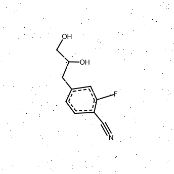 N#Cc1ccc(CC(O)CO)cc1F